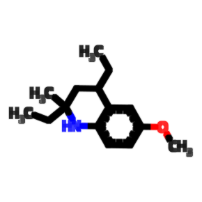 CCC1CC(C)(CC)Nc2ccc(OC)cc21